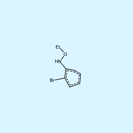 CCONc1ccccc1Br